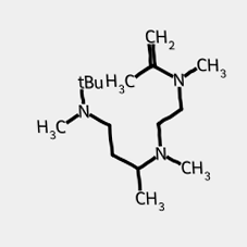 C=C(C)N(C)CCN(C)C(C)CCN(C)C(C)(C)C